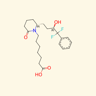 O=C(O)CCCCCCN1C(=O)CCC[C@@H]1CC[C@@H](O)C(F)(F)c1ccccc1